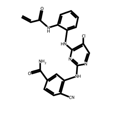 C=CC(=O)Nc1ccccc1Nc1nc(Nc2cc(C(N)=O)ccc2C#N)ncc1Cl